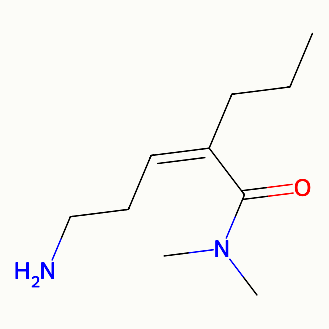 CCCC(=CCCN)C(=O)N(C)C